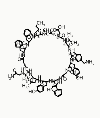 CCCC[C@H]1C(=O)N(C)CC(=O)N[C@@H](CC(=O)O)C(=O)N[C@@H](C(C)C)C(=O)N[C@@H](Cc2ccc(CN)cc2)C(=O)N[C@@H](Cc2ccc(O)cc2)C(=O)N(C)CC(=O)N[C@@H](Cc2c[nH]c3ccccc23)C(=O)N[C@@H](Cc2ccc(O)cc2)C(=O)N[C@@H](CC(C)C)C(=O)N[C@H](C(=O)NCC(N)=O)CSCC(=O)N[C@@H](Cc2ccccc2)C(=O)N(C)C(Cc2ccccc2)C(=O)N1C